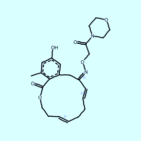 Cc1cc(O)cc2c1C(=O)OCC/C=C/CC/C=C/C(=N/OCC(=O)N1CCOCC1)C2